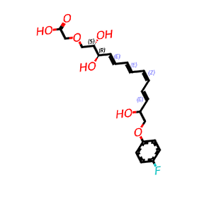 O=C(O)COC[C@H](O)[C@H](O)/C=C/C=C/C=C\C=C\C(O)COc1ccc(F)cc1